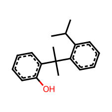 CC(C)c1ccccc1C(C)(C)c1ccccc1O